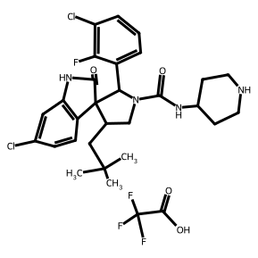 CC(C)(C)CC1CN(C(=O)NC2CCNCC2)C(c2cccc(Cl)c2F)C12C(=O)Nc1cc(Cl)ccc12.O=C(O)C(F)(F)F